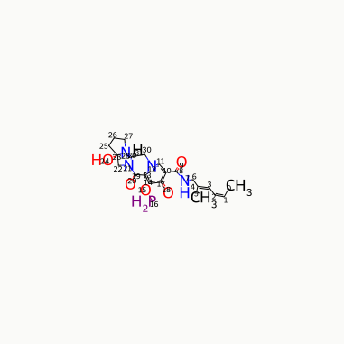 C/C=C\C=C(/C)CNC(=O)c1cn2c(c(OP)c1=O)C(=O)N1C[C@]3(O)CCCN3[C@H]1C2